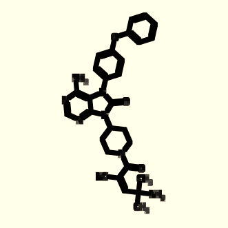 CC(C)(N)/C=C(/C#N)C(=O)N1CCC(n2c(=O)n(-c3ccc(Oc4ccccc4)cc3)c3c(N)ncnc32)CC1